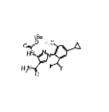 Cc1cc(C2CC2)cc(C(F)F)c1-n1cc(C(N)=O)c(NC(=O)OC(C)(C)C)n1